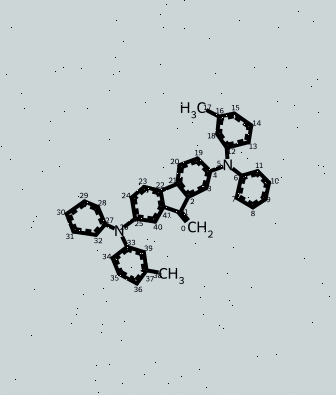 C=C1c2cc(N(c3ccccc3)c3cccc(C)c3)ccc2-c2ccc(N(c3ccccc3)c3cccc(C)c3)cc21